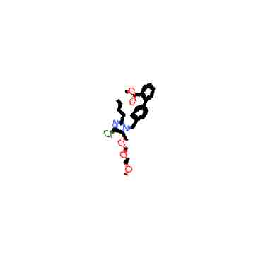 CCCCc1nc(Cl)c(COCOCCOC)n1Cc1ccc(-c2ccccc2C(=O)OC)cc1